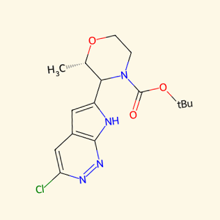 C[C@@H]1OCCN(C(=O)OC(C)(C)C)C1c1cc2cc(Cl)nnc2[nH]1